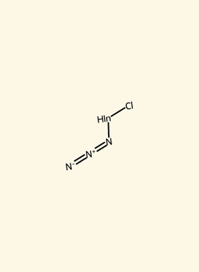 [N-]=[N+]=[N][InH][Cl]